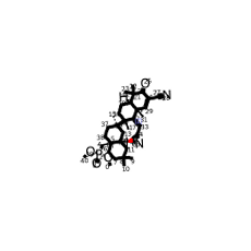 COP(=O)(C[C@]12CCC(C)(C)C[C@H]1C[C@](C)([C@]1(C)CC[C@H]3C(C)(C)C(=O)C(C#N)=C[C@]3(C)/C1=C/C1=NC1)CC2)OC